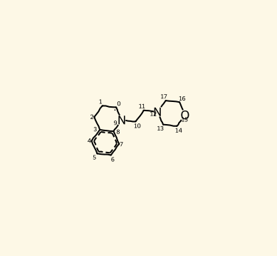 [C]1CCc2ccccc2N1CCN1CCOCC1